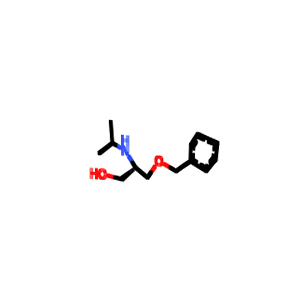 CC(C)N[C@H](CO)COCc1ccccc1